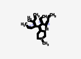 C=C/C=C(CC)\C(=C/C)C(=C1CCN(C)CC1)C(/C=C\C)=C(/C)C=C